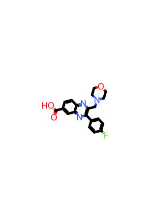 O=C(O)c1ccc2nc(CN3CCOCC3)c(-c3ccc(F)cc3)nc2c1